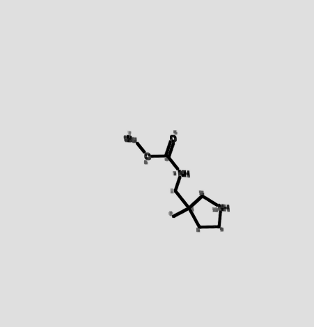 CC1(CNC(=O)OC(C)(C)C)CCNC1